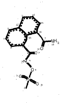 CS(=O)(=O)ONC(=O)c1cccc2cccc(C(N)=O)c12